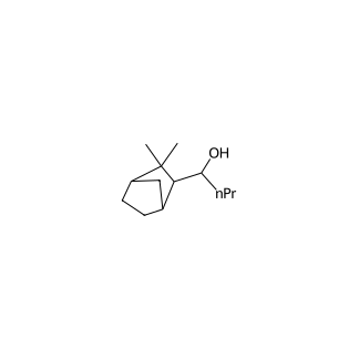 CCCC(O)C1C2CCC(C2)C1(C)C